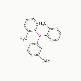 CC(=O)Oc1cc[c]c(P(c2ccccc2C)c2ccccc2C)c1